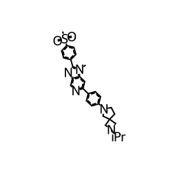 CC(C)N1CC2(CCN(c3ccc(-c4cc5c(cn4)nc(-c4ccc(S(C)(=O)=O)cc4)n5C)cc3)C2)C1